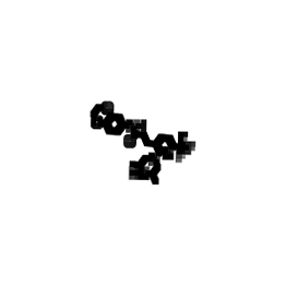 CC1CN(c2nc(C(F)(F)F)ccc2CCC(=O)Nc2ccc3c(c2)OCCO3)CC(C)N1